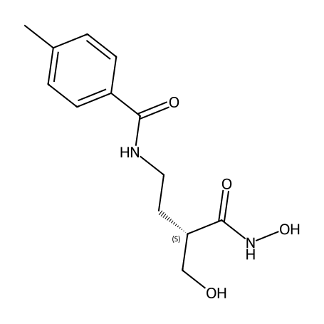 Cc1ccc(C(=O)NCC[C@@H](CO)C(=O)NO)cc1